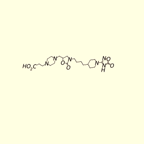 O=C(O)CCN1CCN(CC2CN(CCCCC3CCN(c4noc(=O)[nH]4)CC3)C(=O)O2)CC1